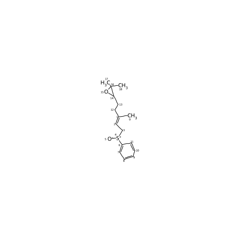 C/C(=C\C[S+]([O-])c1ccccc1)CCC1OC1(C)C